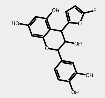 Oc1cc(O)c2c(c1)OC(c1ccc(O)c(O)c1)C(O)C2c1ccc(F)o1